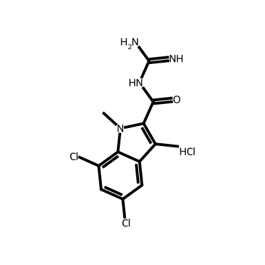 Cc1c(C(=O)NC(=N)N)n(C)c2c(Cl)cc(Cl)cc12.Cl